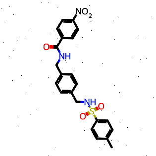 Cc1ccc(S(=O)(=O)NCc2ccc(CNC(=O)c3ccc([N+](=O)[O-])cc3)cc2)cc1